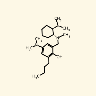 CCCCc1cc(N(C)C)cc(CN(C)[C@@H]2CCCC[C@H]2N(C)C)c1O